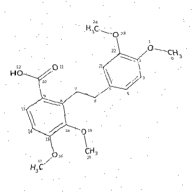 COc1ccc(CCc2c(C(=O)O)ccc(OC)c2OC)cc1OC